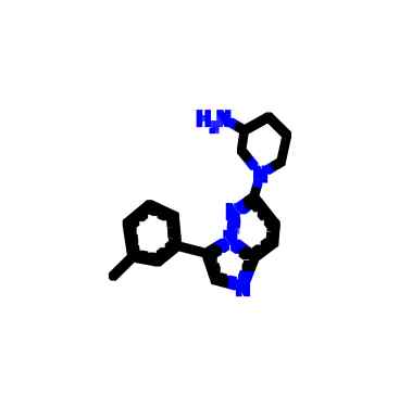 Cc1cccc(-c2cnc3ccc(N4CCCC(N)C4)nn23)c1